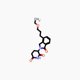 [CH2]COCCCc1cccc2c1CN(C1CCC(=O)NC1=O)C2=O